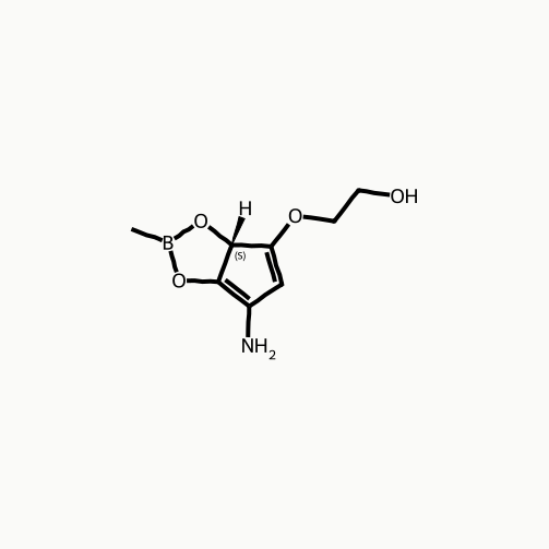 CB1OC2=C(N)C=C(OCCO)[C@H]2O1